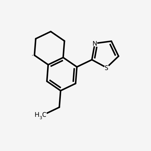 CCc1cc2c(c(-c3nccs3)c1)CCC[CH]2